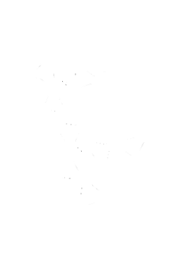 Fc1ccc(-n2c3ccccc3c3ccc(-c4ccc(N(C5=c6oc7ccccc7c6=CCC5)c5ccc6c(c5)sc5ccccc56)cc4)cc32)cc1